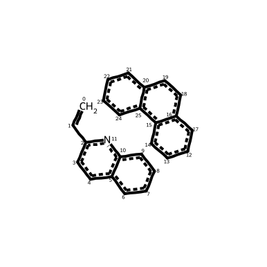 C=Cc1ccc2ccccc2n1.c1ccc2c(c1)ccc1ccccc12